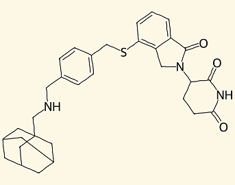 O=C1CCC(N2Cc3c(SCc4ccc(CNCC56CC7CC(CC(C7)C5)C6)cc4)cccc3C2=O)C(=O)N1